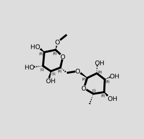 CO[C@@H]1O[C@H](CO[C@@H]2O[C@@H](C)[C@H](O)[C@@H](O)[C@H]2O)[C@@H](O)[C@H](O)[C@H]1O